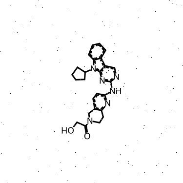 O=C(CO)N1CCc2nc(Nc3ncc4c5ccccc5n(C5CCCC5)c4n3)ccc2C1